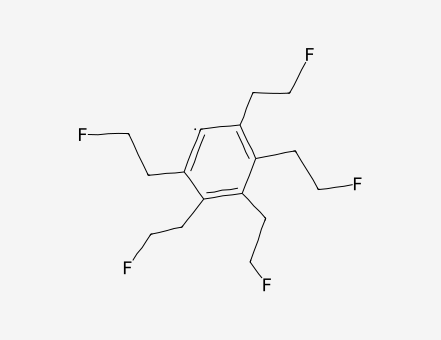 FCCc1[c]c(CCF)c(CCF)c(CCF)c1CCF